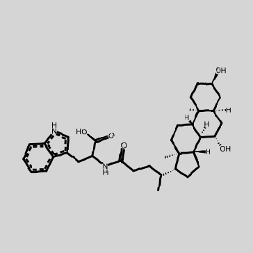 CC(CCC(=O)NC(Cc1c[nH]c2ccccc12)C(=O)O)[C@H]1CC[C@H]2[C@@H]3[C@@H](O)C[C@@H]4C[C@H](O)CC[C@]4(C)[C@H]3CC[C@]12C